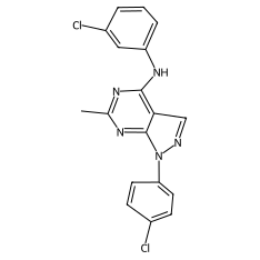 Cc1nc(Nc2cccc(Cl)c2)c2cnn(-c3ccc(Cl)cc3)c2n1